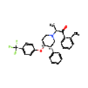 Cc1ccccc1C(=O)C(C)N1CC[C@@H](Oc2ccc(C(F)(F)F)cc2)[C@@H](c2ccccc2)C1